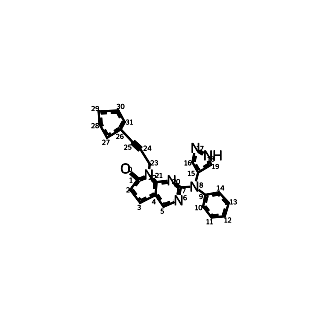 O=c1ccc2cnc(N(c3ccccc3)c3cn[nH]c3)nc2n1CC#Cc1ccccc1